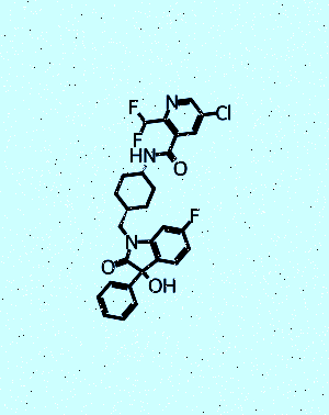 O=C(N[C@H]1CC[C@H](CN2C(=O)C(O)(c3ccccc3)c3ccc(F)cc32)CC1)c1cc(Cl)cnc1C(F)F